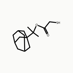 CC(C)(OC(=O)CS)C12CC3CC(CC(C3)C1)C2